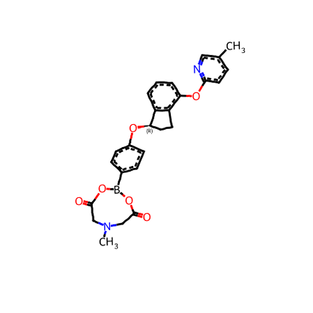 Cc1ccc(Oc2cccc3c2CC[C@H]3Oc2ccc(B3OC(=O)CN(C)CC(=O)O3)cc2)nc1